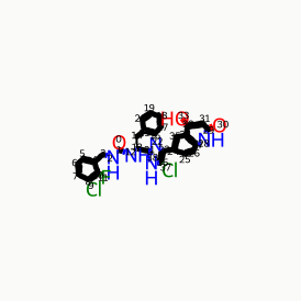 O=C(NCc1cccc(Cl)c1F)N[C@@H](Cc1ccccc1)c1nc(-c2ccc3[nH]c(=O)cc(O)c3c2)c(Cl)[nH]1